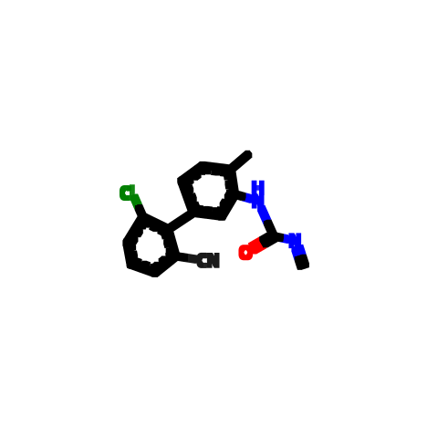 C=NC(=O)Nc1cc(-c2c(Cl)cccc2C#N)ccc1C